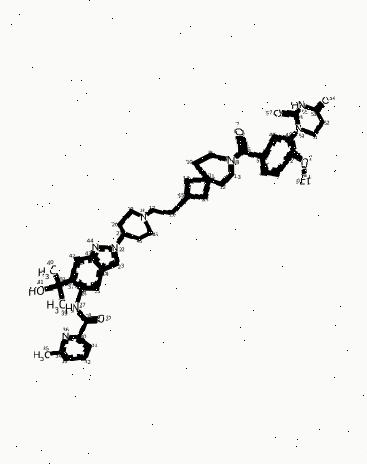 CCOc1ccc(C(=O)N2CCC3(CC2)CC(CCN2CCC(n4cc5cc(NC(=O)c6cccc(C)n6)c(C(C)(C)O)cc5n4)CC2)C3)cc1N1CCC(=O)NC1=O